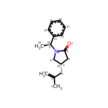 C=C(C)C[C@H]1CC(=O)N([C@@H](C)c2ccccc2)C1